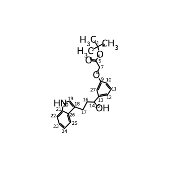 CC(C)(C)OC(=O)COc1cccc(C(O)CCc2c[nH]c3ccccc23)c1